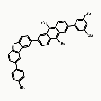 CC(C)(C)c1ccc(-c2ccc3oc4ccc(-c5ccc6c(C(C)(C)C)c7cc(-c8cc(C(C)(C)C)cc(C(C)(C)C)c8)ccc7c(C(C)(C)C)c6c5)cc4c3c2)cc1